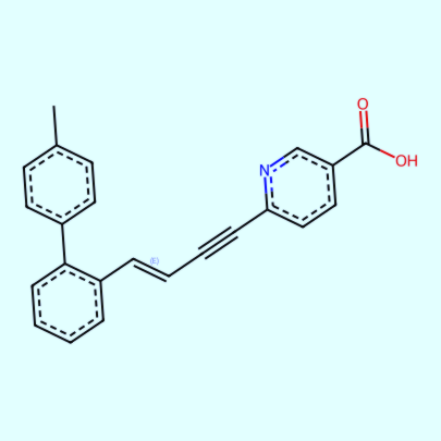 Cc1ccc(-c2ccccc2/C=C/C#Cc2ccc(C(=O)O)cn2)cc1